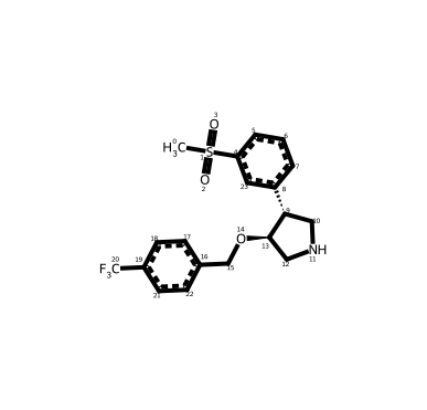 CS(=O)(=O)c1cccc([C@@H]2CNC[C@H]2OCc2ccc(C(F)(F)F)cc2)c1